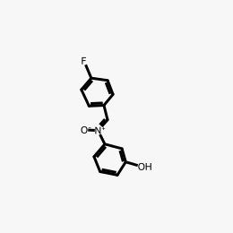 [O-][N+](=Cc1ccc(F)cc1)c1cccc(O)c1